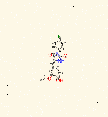 CCOc1cc(/C=C2\NC(=O)N(c3ccc(F)cc3)C2=O)ccc1O